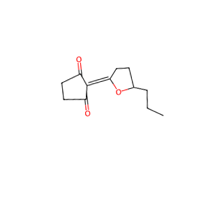 CCCC1CCC(=C2C(=O)CCC2=O)O1